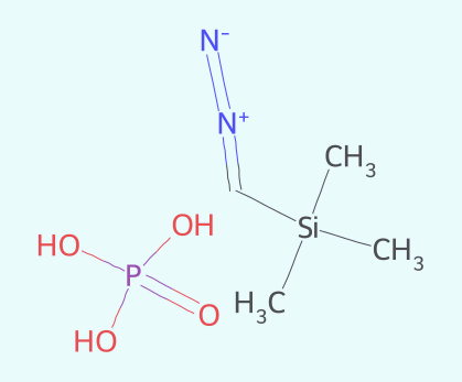 C[Si](C)(C)C=[N+]=[N-].O=P(O)(O)O